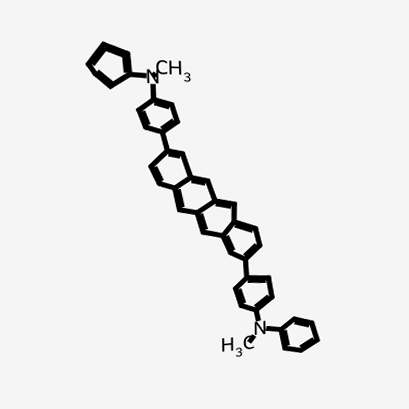 CN(C1=C=C=CC=C1)c1ccc(-c2ccc3cc4cc5cc(-c6ccc(N(C)c7ccccc7)cc6)ccc5cc4cc3c2)cc1